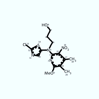 COc1nc(N(CCCO)c2cnc(Cl)s2)c([N+](=O)[O-])c(C)c1C